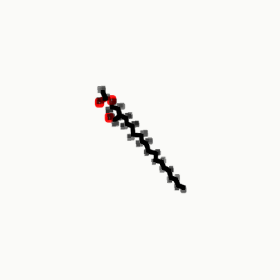 CCCCCCCCCCCCCCCCCC(C=O)CCOC(C)=O